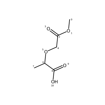 COC(=O)COC(C)C(=O)O